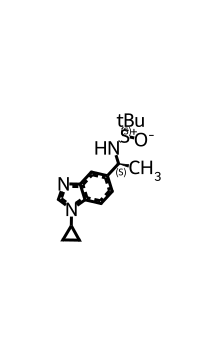 C[C@H](N[S@+]([O-])C(C)(C)C)c1ccc2c(c1)ncn2C1CC1